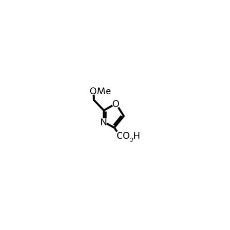 COCc1nc(C(=O)O)co1